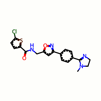 CN1CCN=C1c1ccc(-c2cc(CNC(=O)c3ccc(Cl)s3)on2)cc1